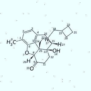 Cc1ccc2c3c1O[C@H]1C(=O)CC[C@@]4(O)[C@@H](C2)N(CC2CCC2)CC[C@]314